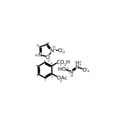 CC(=O)Oc1ccccc1C(=O)O.[O-][NH+]=NO.[O-][n+]1ccno1